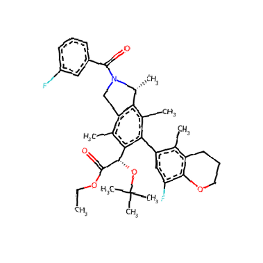 CCOC(=O)[C@@H](OC(C)(C)C)c1c(C)c2c(c(C)c1-c1cc(F)c3c(c1C)CCCO3)[C@@H](C)N(C(=O)c1cccc(F)c1)C2